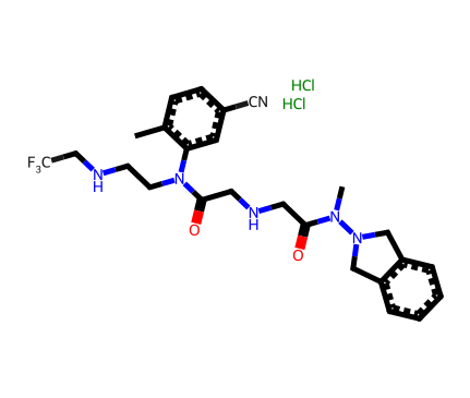 Cc1ccc(C#N)cc1N(CCNCC(F)(F)F)C(=O)CNCC(=O)N(C)N1Cc2ccccc2C1.Cl.Cl